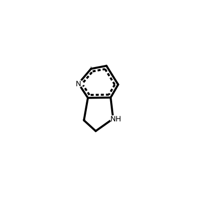 [c]1ccc2c(n1)CCN2